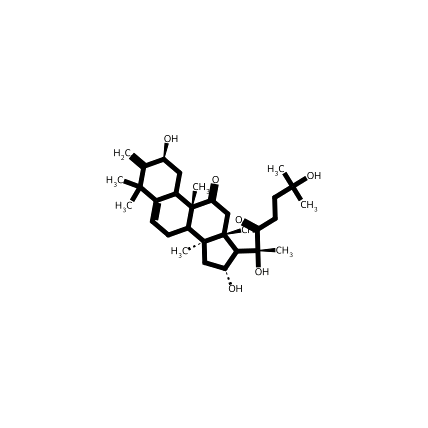 C=C1[C@@H](O)CC2C(=CCC3[C@@]2(C)C(=O)C[C@]2(C)C([C@@](C)(O)C(=O)CCC(C)(C)O)[C@H](O)C[C@@]32C)C1(C)C